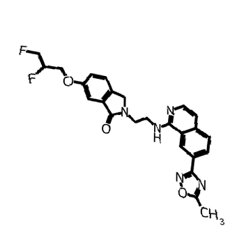 Cc1nc(-c2ccc3ccnc(NCCN4Cc5ccc(OCC(F)CF)cc5C4=O)c3c2)no1